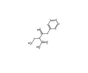 CCC(C(=N)Cc1ccccc1)C(=O)O